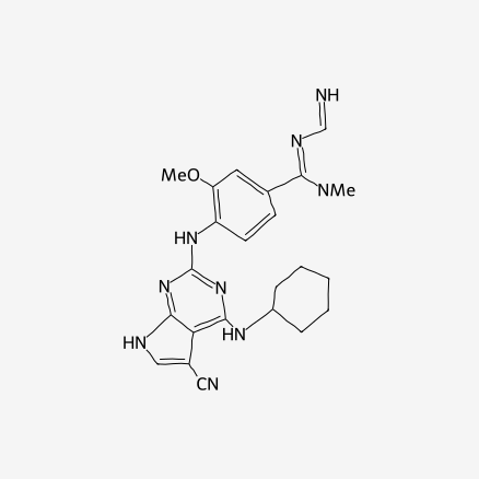 CN/C(=N\C=N)c1ccc(Nc2nc(NC3CCCCC3)c3c(C#N)c[nH]c3n2)c(OC)c1